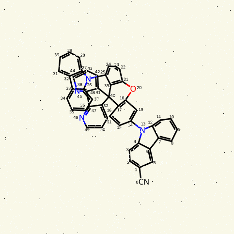 N#Cc1ccc2c(c1)c1ccccc1n2-c1ccc2c(c1)Oc1cccc(-n3c4ccccc4c4ccccc43)c1C21c2cccnc2-c2ncccc21